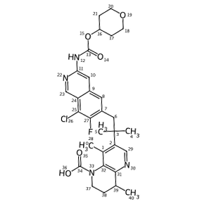 Cc1c(C(C)(C)Cc2cc3cc(NC(=O)OC4CCOCC4)ncc3c(Cl)c2F)cnc2c1N(C(=O)O)CCC2C